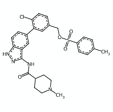 Cc1ccc(S(=O)(=O)OCc2ccc(Cl)c(-c3ccc4[nH]nc(NC(=O)C5CCN(C)CC5)c4c3)c2)cc1